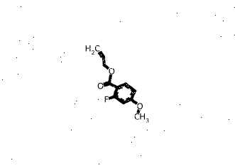 C=CCOC(=O)c1ccc(OC)cc1F